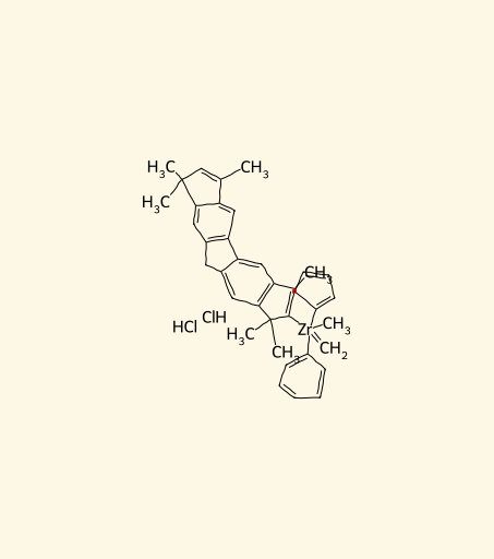 Cl.Cl.[CH2]=[Zr]([CH3])([C]1=CC=CC1)([C]1=C(C)c2cc3c(cc2C1(C)C)Cc1cc2c(cc1-3)C(C)=CC2(C)C)[c]1ccccc1